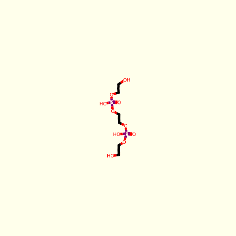 O=P(O)(OCCO)OCCOP(=O)(O)OCCO